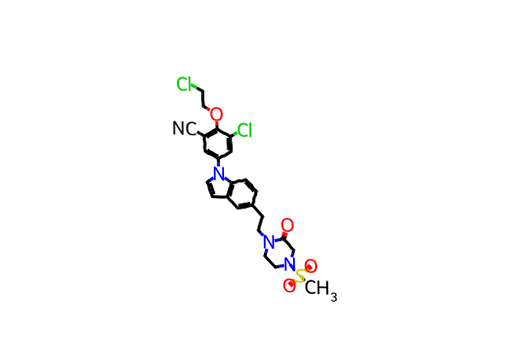 CS(=O)(=O)N1CCN(CCc2ccc3c(ccn3-c3cc(Cl)c(OCCCl)c(C#N)c3)c2)C(=O)C1